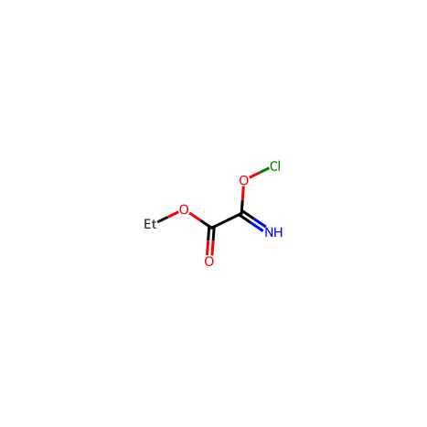 CCOC(=O)C(=N)OCl